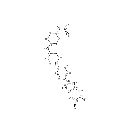 CC(=O)OC1CCC(OC2CCN(c3ccc(-c4nc5cc(F)c(F)cc5[nH]4)cn3)CC2)CC1